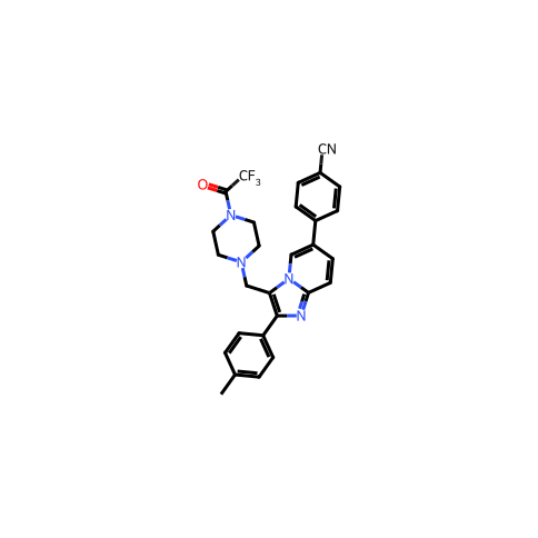 Cc1ccc(-c2nc3ccc(-c4ccc(C#N)cc4)cn3c2CN2CCN(C(=O)C(F)(F)F)CC2)cc1